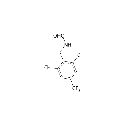 O=CNCc1c(Cl)cc(C(F)(F)F)cc1Cl